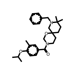 Cc1cc(C(=O)N2CCC3(CCC(C)(C)N(Cc4ccccc4)C3)OC2)ccc1OC(C)C